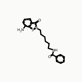 Nc1cccc2c(=O)n(CCCCCCNC(=O)c3ccccc3)sc12